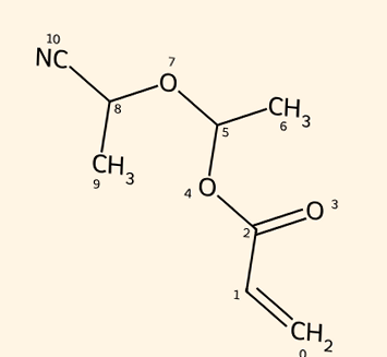 C=CC(=O)OC(C)OC(C)C#N